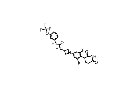 O=C1CCC(c2c(F)cc(N3CC(NC(=O)Nc4cccc(OC(F)(F)F)c4)C3)cc2F)C(=O)N1